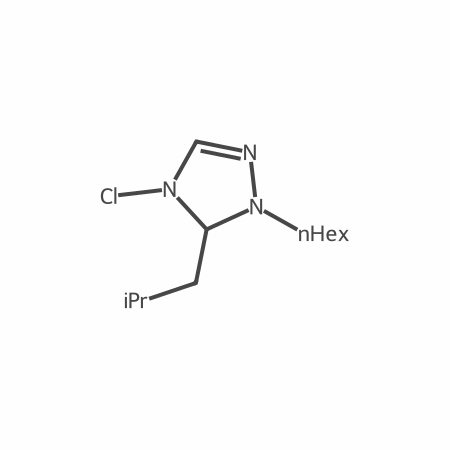 CCCCCCN1N=CN(Cl)C1CC(C)C